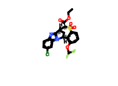 CCOC(=O)[C@H]1[C@@H]2C[C@@H](c3c(OC(F)F)cccc3S1(=O)=O)n1c2nc2ccc(Cl)cc21